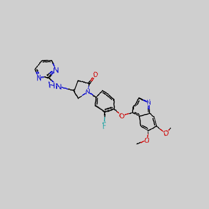 COc1cc2nccc(Oc3ccc(N4CC(Nc5ncccn5)CC4=O)cc3F)c2cc1OC